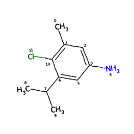 Cc1cc(N)cc(C(C)C)c1Cl